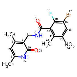 Cc1cc(C)c(CNC(=O)c2c(C)c([N+](=O)[O-])cc(Br)c2F)c(=O)[nH]1